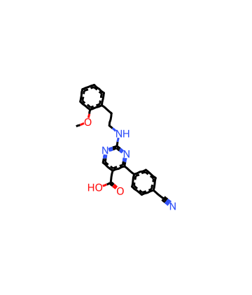 COc1ccccc1CCNc1ncc(C(=O)O)c(-c2ccc(C#N)cc2)n1